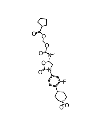 CN(C(=O)OCOC(=O)C1CCCC1)[C@@H]1CN(c2ccc(C3CCS(=O)(=O)CC3)c(F)c2)C(=O)O1